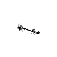 Cn1cnc2c1c(=O)n(CCCCCCCCCCCNC(=O)CNC(=O)OCc1ccccc1)c(=O)n2C